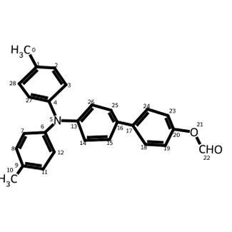 Cc1ccc(N(c2ccc(C)cc2)c2ccc(-c3ccc(OC=O)cc3)cc2)cc1